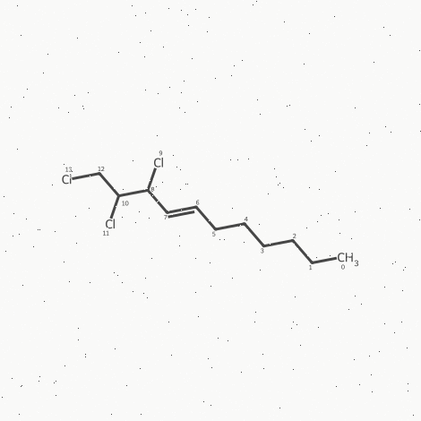 CCCCCCC=CC(Cl)C(Cl)CCl